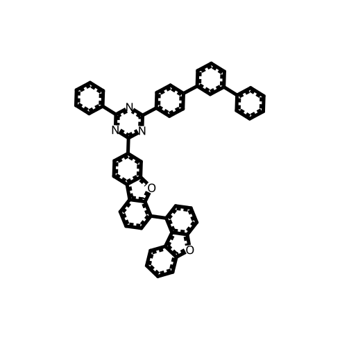 c1ccc(-c2cccc(-c3ccc(-c4nc(-c5ccccc5)nc(-c5ccc6c(c5)oc5c(-c7cccc8oc9ccccc9c78)cccc56)n4)cc3)c2)cc1